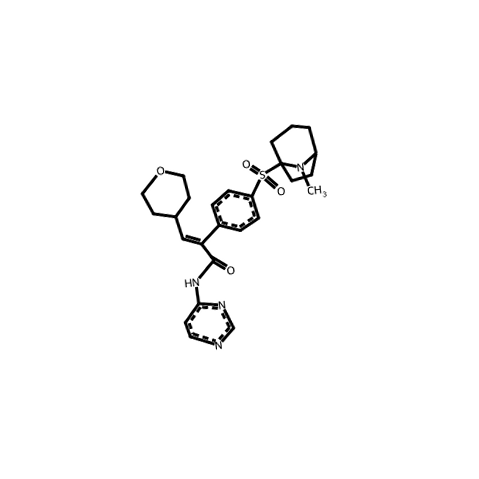 CN1C2CCCC1(S(=O)(=O)c1ccc(/C(=C\C3CCOCC3)C(=O)Nc3ccncn3)cc1)CC2